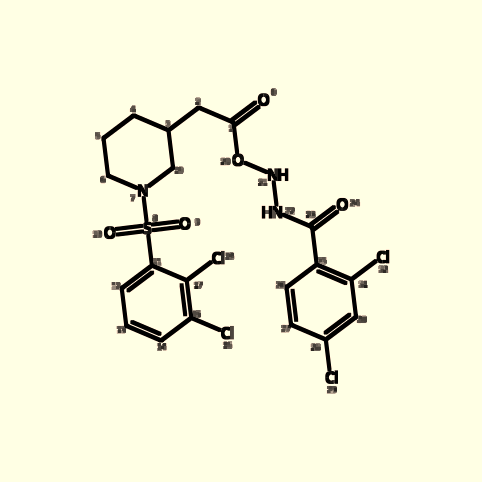 O=C(CC1CCCN(S(=O)(=O)c2cccc(Cl)c2Cl)C1)ONNC(=O)c1ccc(Cl)cc1Cl